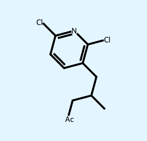 CC(=O)CC(C)Cc1ccc(Cl)nc1Cl